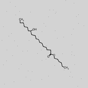 CCCCCCOC(=O)CCCCCCCCCCC(O)CCCCCC